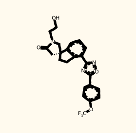 O=C1C[C@]2(CCc3c(-c4noc(-c5ccc(OC(F)(F)F)cc5)n4)cccc32)CN1CCO